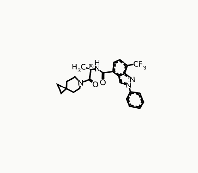 C[C@@H](NC(=O)c1ccc(C(F)(F)F)c2nn(-c3ccccc3)cc12)C(=O)N1CCC2(CC1)CC2